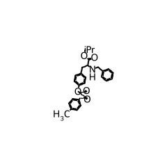 Cc1ccc(S(=O)(=O)Oc2ccc(CC(NCc3ccccc3)C(=O)OC(C)C)cc2)cc1